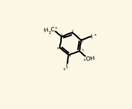 [CH2]c1cc(I)c(O)c(I)c1